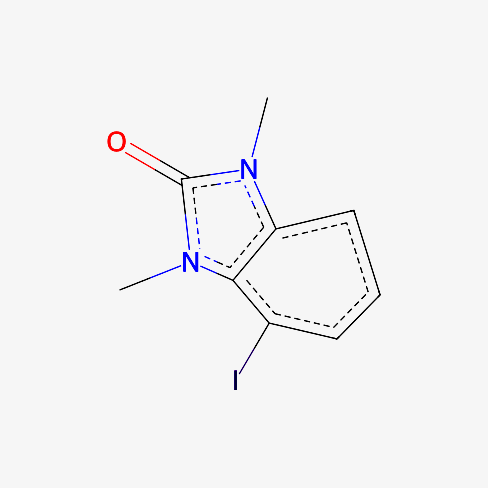 Cn1c(=O)n(C)c2c(I)cccc21